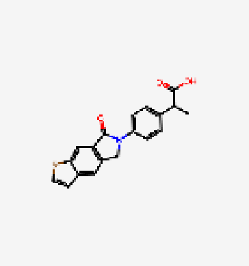 CC(C(=O)O)c1ccc(N2Cc3cc4ccsc4cc3C2=O)cc1